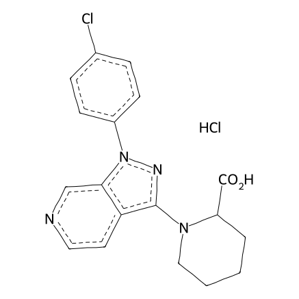 Cl.O=C(O)C1CCCCN1c1nn(-c2ccc(Cl)cc2)c2cnccc12